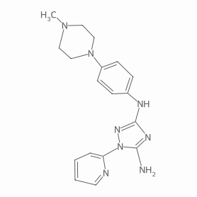 CN1CCN(c2ccc(Nc3nc(N)n(-c4ccccn4)n3)cc2)CC1